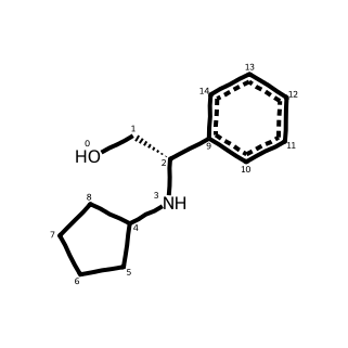 OC[C@@H](NC1CCCC1)c1ccccc1